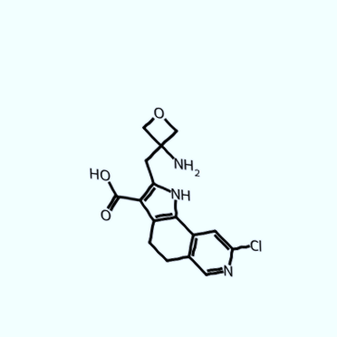 NC1(Cc2[nH]c3c(c2C(=O)O)CCc2cnc(Cl)cc2-3)COC1